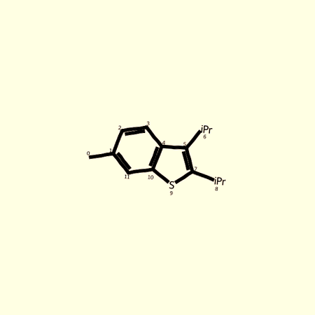 Cc1ccc2c(C(C)C)c(C(C)C)sc2c1